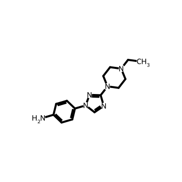 CCN1CCN(c2ncn(-c3ccc(N)cc3)n2)CC1